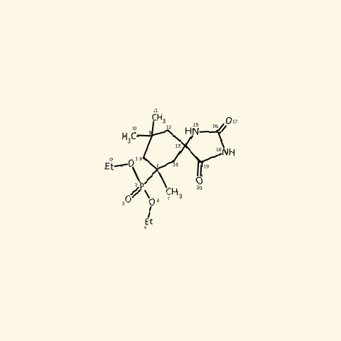 CCOP(=O)(OCC)C1(C)CC(C)(C)CC2(C1)NC(=O)NC2=O